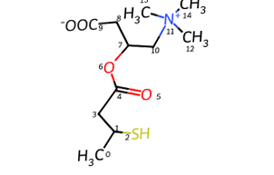 CC(S)CC(=O)OC(CC(=O)[O-])C[N+](C)(C)C